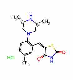 C[C@@H]1CN(c2ccc(C(F)(F)F)cc2C=C2SC(=O)NC2=O)C[C@H](C)N1.Cl